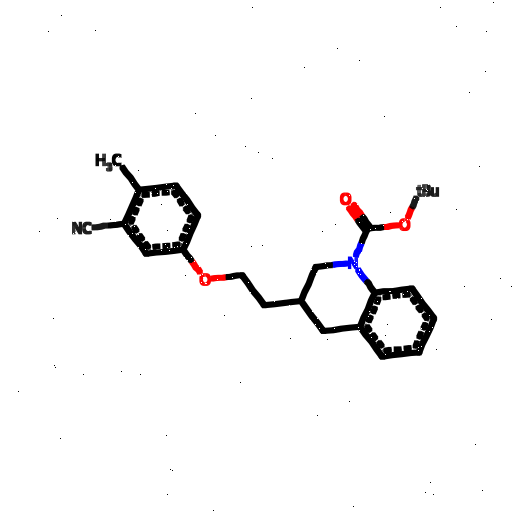 Cc1ccc(OCCC2Cc3ccccc3N(C(=O)OC(C)(C)C)C2)cc1C#N